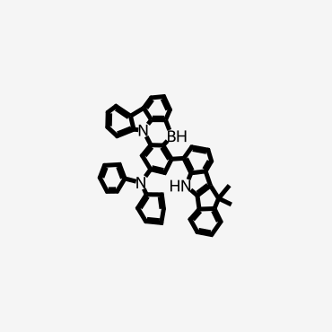 CC1(C)c2ccccc2-c2[nH]c3c(-c4cc(N(c5ccccc5)c5ccccc5)cc5c4Bc4cccc6c7ccccc7n-5c46)cccc3c21